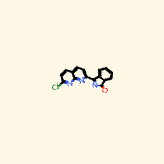 O=C1N=C(c2ccc3ccc(Cl)nc3n2)c2ccccc21